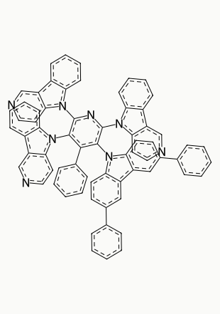 c1ccc(-c2ccc3c(c2)c2cc(-c4ccccc4)ccc2n3-c2c(-n3c4ccccc4c4cnccc43)nc(-n3c4ccccc4c4cnccc43)c(-n3c4ccccc4c4cnccc43)c2-c2ccccc2)cc1